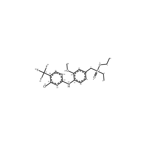 CCOP(=O)(CC)Cc1ccc(Nc2ncc(C(F)(F)F)c(Cl)n2)c(OC)c1